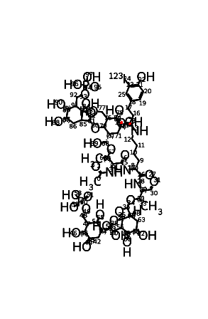 CC(=O)N[C@H](C(=O)N[C@@H](CCCCNC(=O)CCc1ccc(O)c([123I])c1)C(=O)N[C@H](C=O)[C@@H](C)OC1OC2(OC(O)[C@H]3C[C@@H](O)[C@H](O)C(COP(=O)(O)O)C3O)C(CO)[C@@H](O)[C@H](O)C[C@H]12)[C@@H](C)OC(O)[C@H]1C[C@@H](O)[C@H](O)C(CO)C1OC1OC2(O)C1C[C@@H](O)[C@H](O)C2COP(=O)(O)O